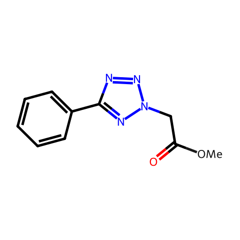 COC(=O)Cn1nnc(-c2ccccc2)n1